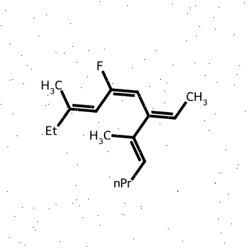 C/C=C(\C=C(F)/C=C(\C)CC)C(/C)=C/CCC